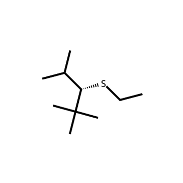 CCS[C@@H](C(C)C)C(C)(C)C